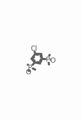 CP(C)(=O)c1cc(Cl)cc(P(C)(C)=O)c1